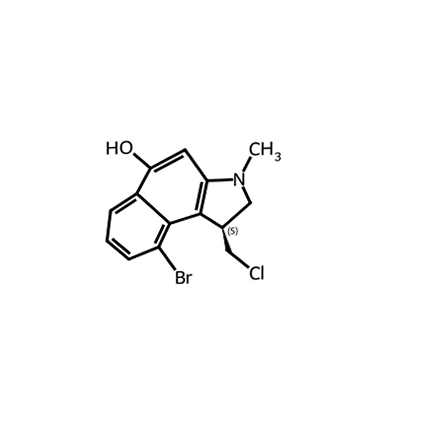 CN1C[C@@H](CCl)c2c1cc(O)c1cccc(Br)c21